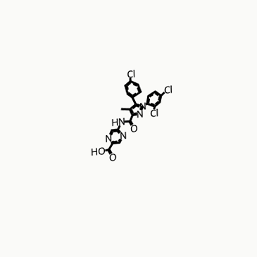 Cc1c(C(=O)Nc2cnc(C(=O)O)cn2)nn(-c2ccc(Cl)cc2Cl)c1-c1ccc(Cl)cc1